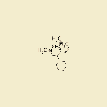 C=C/C=C(\C=C/C)C(CN(C)C)C1=CCCCC1